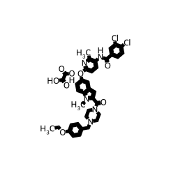 CCOc1ccc(CN2CCN(C(=O)c3cc4cc(Oc5ccc(NC(=O)c6ccc(Cl)c(Cl)c6)c(C)n5)ccc4n3C)CC2)cc1.O=C(O)C(=O)O